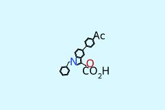 CC(=O)c1ccc(-c2ccc3c(c2)c(C(=O)C(=O)O)cn3Cc2ccccc2)cc1